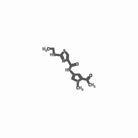 CCNc1nc(C(=O)Nc2cc(C(C)=O)n(C)c2)cs1